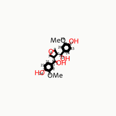 COc1cc(C(O)[C@H]2COC[C@@H]2C(O)c2ccc(O)c(OC)c2)ccc1O